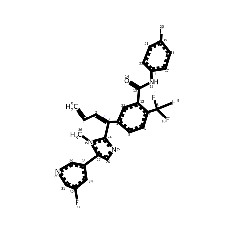 C=C/C=C(/c1ccc(C(F)(F)F)c(C(=O)Nc2ccc(F)cc2)c1)c1ncc(-c2cncc(F)c2)n1C